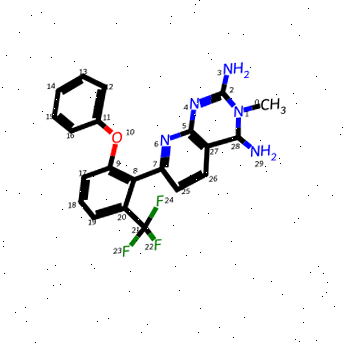 CN1C(N)=Nc2nc(-c3c(Oc4ccccc4)cccc3C(F)(F)F)ccc2C1N